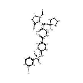 CC[C@@H]1OCC(=O)[C@H]1NC(=O)[C@H](CC1(C)CCCC1)NC(=O)c1ccc(NS(=O)(=O)c2cccc(F)c2)cc1